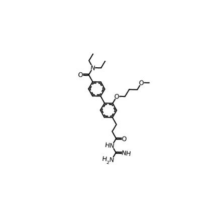 CCN(CC)C(=O)c1ccc(-c2ccc(CCC(=O)NC(=N)N)cc2OCCCOC)cc1